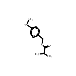 BNc1ccc(COC(=O)C(C)C)cc1